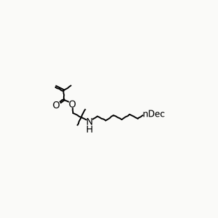 C=C(C)C(=O)OCC(C)(C)NCCCCCCCCCCCCCCCC